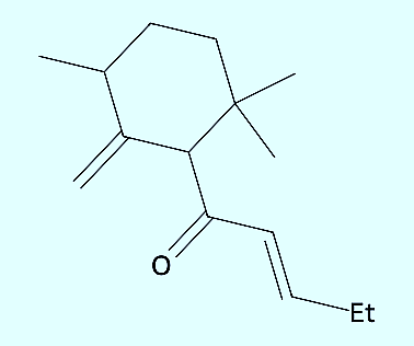 C=C1C(C)CCC(C)(C)C1C(=O)C=CCC